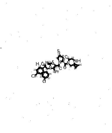 CC(C)C1=C(C(=O)N2C[C@H](F)C[C@H]2C(=O)N2CC3(CC3)NC[C@@H]2C)SC2=N[C@@](C)(c3ccc(Cl)cc3)[C@@H](c3ccc(Cl)cc3)N21